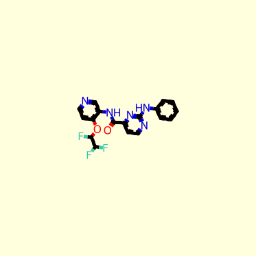 O=C(Nc1cnccc1OC(F)C(F)F)c1ccnc(Nc2ccccc2)n1